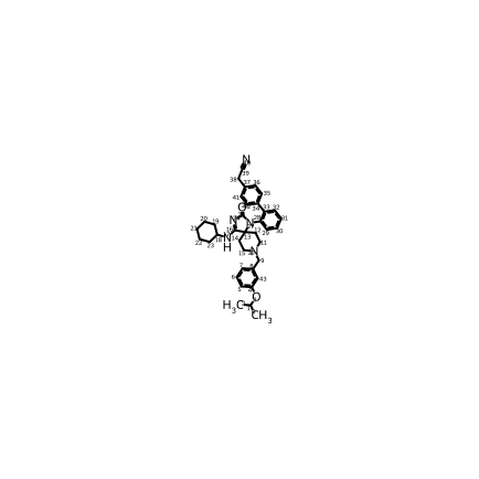 CC(C)Oc1cccc(CN2CCC3(CC2)C(NC2CCCCC2)=NC(=O)N3c2ccccc2-c2ccc(CC#N)cc2)c1